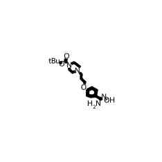 CC(C)(C)OC(=O)N1CCN(CCCOc2ccc(C(N)=NO)cc2)CC1